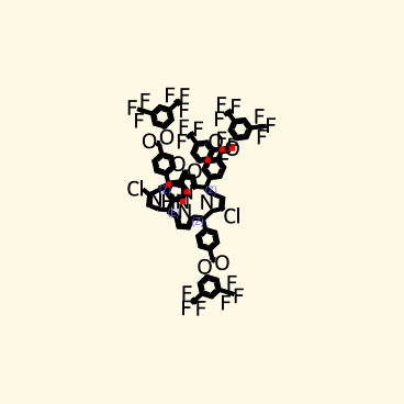 O=C(Oc1cc(C(F)(F)F)cc(C(F)(F)F)c1)c1ccc(/C2=C3\C=C(Cl)C(=N3)/C(c3ccc(C(=O)Oc4cc(C(F)(F)F)cc(C(F)(F)F)c4)cc3)=c3/cc/c4n3Nn3c2ccc3/C(c2ccc(C(=O)Oc3cc(C(F)(F)F)cc(C(F)(F)F)c3)cc2)=C2N=C(C=C\2Cl)/C=4c2ccc(C(=O)Oc3cc(C(F)(F)F)cc(C(F)(F)F)c3)cc2)cc1